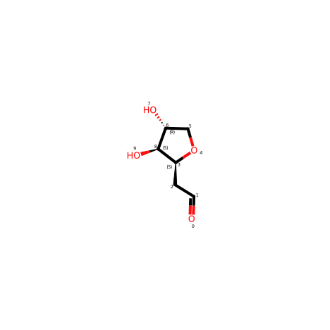 O=CC[C@@H]1OC[C@@H](O)[C@@H]1O